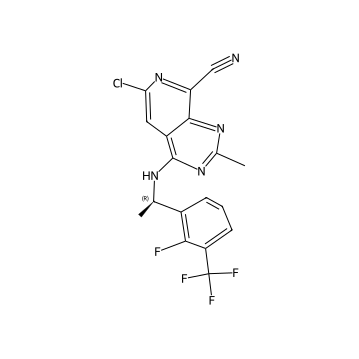 Cc1nc(N[C@H](C)c2cccc(C(F)(F)F)c2F)c2cc(Cl)nc(C#N)c2n1